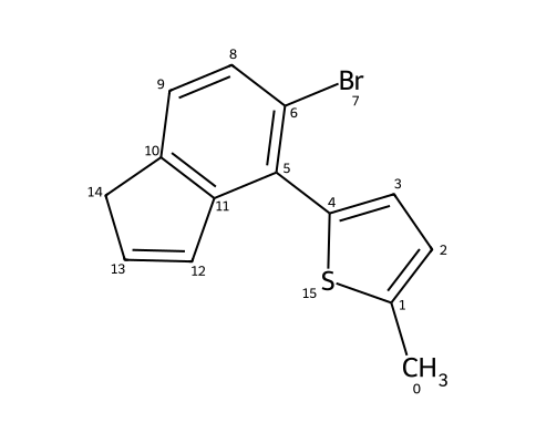 Cc1ccc(-c2c(Br)ccc3c2C=CC3)s1